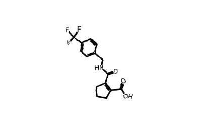 O=C(O)C1=C(C(=O)NCc2ccc(C(F)(F)F)cc2)CCC1